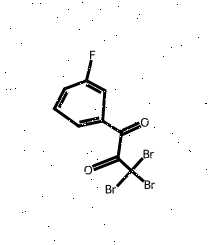 O=C(C(=O)C(Br)(Br)Br)c1cccc(F)c1